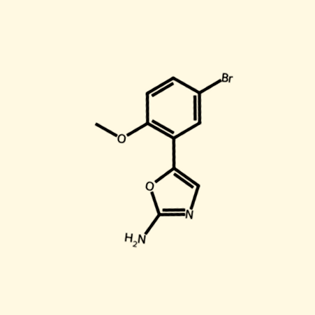 COc1ccc(Br)cc1-c1cnc(N)o1